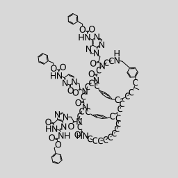 CC1CCC2CCC3CCCCCCCCCNC(=O)CN(C(=O)Cn4cnc5c(=O)[nH]c(NC(=O)OCc6ccccc6)nc54)CCN(Cc4ccc(cc4)C3)C(=O)CN(C(=O)Cn3ccc(NC(=O)OCc4ccccc4)nc3=O)CCN(Cc3ccc(cc3)C2)C(=O)CN(C(=O)Cn2cnc3c(NC(=O)OCc4ccccc4)ncnc32)CCNCc2ccc(cc2)C1